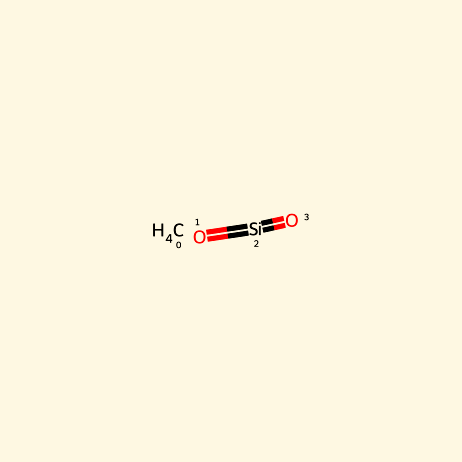 C.O=[Si]=O